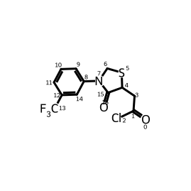 O=C(Cl)CC1SCN(c2cccc(C(F)(F)F)c2)C1=O